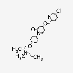 CCCN(C)[C@@H](C)COc1ccc(-n2ccc(OCc3ccc(Cl)cn3)cc2=O)cc1